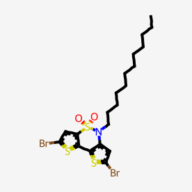 CCCCCCCCCCCCN1c2cc(Br)sc2-c2sc(Br)cc2S1(=O)=O